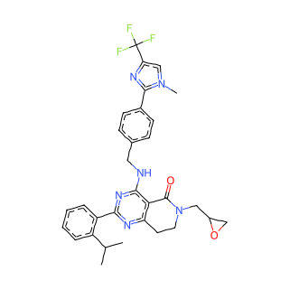 CC(C)c1ccccc1-c1nc2c(c(NCc3ccc(-c4nc(C(F)(F)F)cn4C)cc3)n1)C(=O)N(CC1CO1)CC2